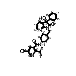 O=C(NC1CCC(CN2C(=O)C(O)(c3ccccc3)c3cccnc32)CC1)c1cc(Cl)cnc1C(F)F